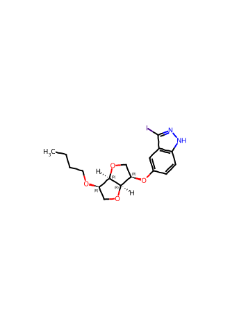 CCCCO[C@@H]1CO[C@H]2[C@@H]1OC[C@H]2Oc1ccc2[nH]nc(I)c2c1